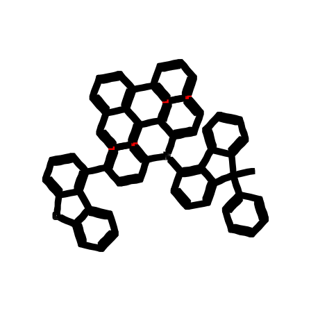 CC1(c2ccccc2)c2ccccc2-c2c(N(c3ccc(-c4cccc5oc6ccccc6c45)cc3)c3ccccc3-c3cccc4cccc(-c5ccccc5)c34)cccc21